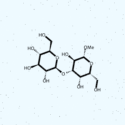 CO[C@@H]1O[C@H](CO)[C@H](O)[C@H](O[C@@H]2O[C@H](CO)[C@@H](O)[C@H](O)[C@H]2O)[C@H]1O